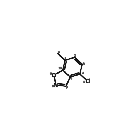 Cc1ccc(Cl)c2cnoc12